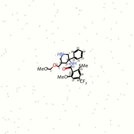 COCOCC1CNCC(NC(=O)c2c(OC)cc(C(F)(F)F)cc2SC)(c2ccccc2)C1